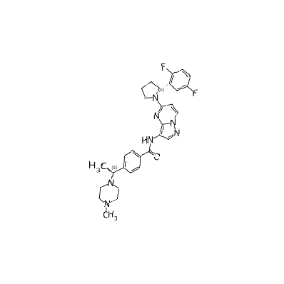 C[C@@H](c1ccc(C(=O)Nc2cnn3ccc(N4CCC[C@@H]4c4cc(F)ccc4F)nc23)cc1)N1CCN(C)CC1